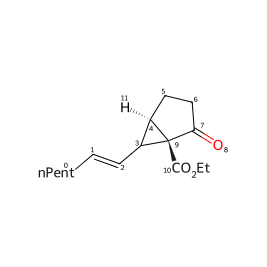 CCCCCC=CC1[C@H]2CCC(=O)[C@]12C(=O)OCC